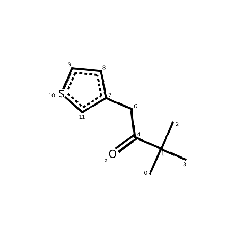 CC(C)(C)C(=O)Cc1ccsc1